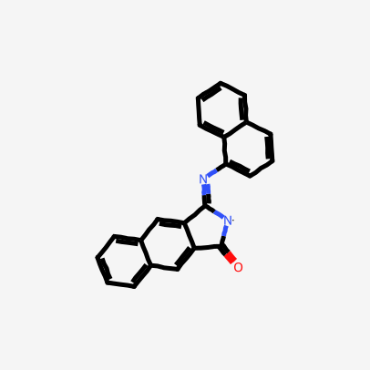 O=C1[N]C(=Nc2cccc3ccccc23)c2cc3ccccc3cc21